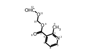 Cc1ncccc1C(=O)OCO[C]=O